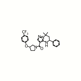 CC1(C)CC(c2ccccc2)Nc2c(C(=O)N3CCC(Oc4ccc(C(F)(F)F)cc4)C3)cnn21